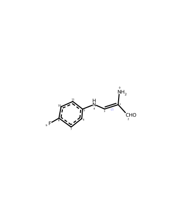 N/C(C=O)=C\Nc1ccc(F)cc1